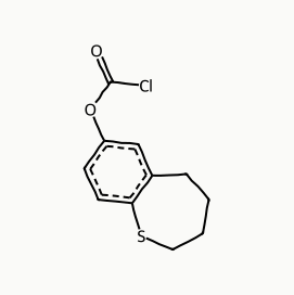 O=C(Cl)Oc1ccc2c(c1)CCCCS2